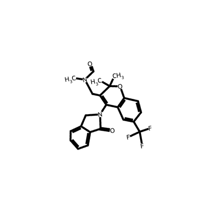 CN(C=O)CC1=C(N2Cc3ccccc3C2=O)c2cc(C(F)(F)F)ccc2OC1(C)C